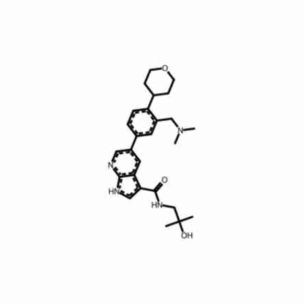 CN(C)Cc1cc(-c2cnc3[nH]cc(C(=O)NCC(C)(C)O)c3c2)ccc1C1CCOCC1